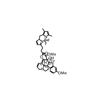 CC[C@]12C=CCN3CC[C@@]4(c5ccc(OC)cc5N(C)[C@H]4[C@@](O)(C(=O)OC)[C@@H]1OC(=O)CCC1=[N+]4C(C=C1)Cc1c(C)cc(C)n1[B-]4(F)F)[C@@H]32